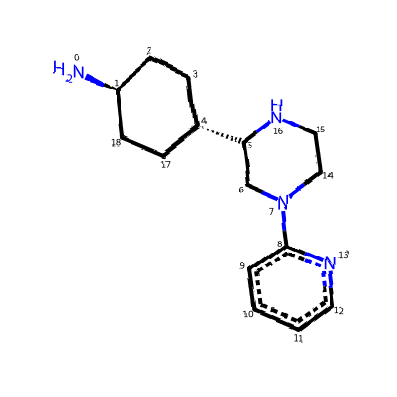 N[C@H]1CC[C@H](C2CN(c3ccccn3)CCN2)CC1